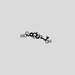 CC1Cc2ccc(CC(=O)O)cc2Oc2ccc(OCC/C=C(/O)C3CC3)nc21